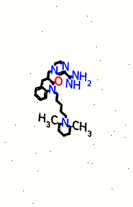 C[C@@H]1CCC[C@H](C)N1CCCCCN1C(=O)C(CN2C=C(C(=N)N)N=CC2)Cc2ccccc21